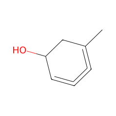 CC1=C=C=CC(O)C1